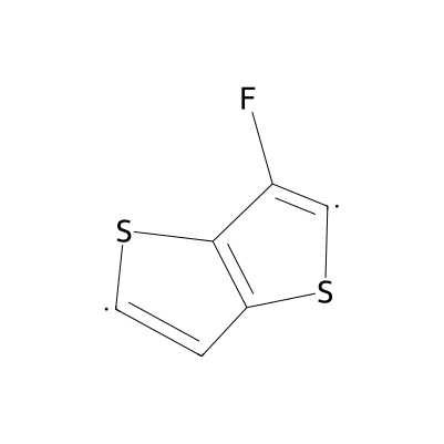 Fc1[c]sc2c[c]sc12